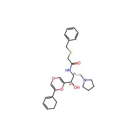 O=C(CSCc1ccccc1)N[C@H](CN1CCCC1)[C@@H](O)C1=COC=C(C2=CC=CCC2)O1